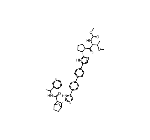 COC(=O)N[C@H](C(=O)N1CCC[C@H]1c1ncc(-c2ccc(-c3ccc(-c4cnc([C@@H]5C6CCC(C6)C5C(=O)NC(C)c5cccnc5)[nH]4)cc3)cc2)[nH]1)[C@@H](C)OC